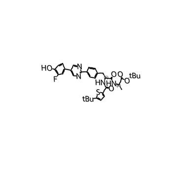 C[C@@H](NC(=O)[C@H](Cc1ccc(-c2ncc(-c3ccc(O)c(F)c3)cn2)cc1)NC(=O)c1ccc(C(C)(C)C)s1)C(=O)OC(C)(C)C